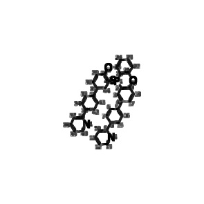 S=P12c3cc(-c4ccc(-c5ccccn5)cc4)ccc3Oc3cccc(c31)Oc1ccc(-c3ccc(-c4ccccn4)cc3)cc12